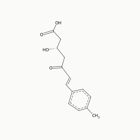 Cc1ccc(/C=C/C(=O)C[C@H](O)CC(=O)O)cc1